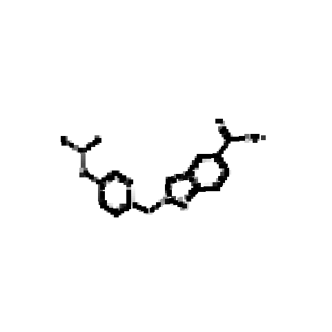 COC(=O)c1ccc2nn(Cc3ccc(OC(F)F)cc3)cc2c1